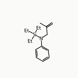 C=C(C)CN(c1ccccc1)[Si](CC)(CC)CC